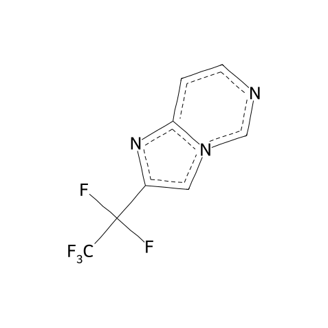 FC(F)(F)C(F)(F)c1cn2cnccc2n1